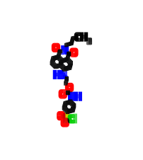 CCCCN1C(=O)c2cccc3c(NCCOC(=O)Nc4ccc(S(=O)(=O)Cl)cc4)ccc(c23)C1=O